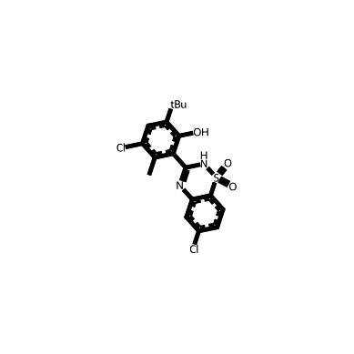 Cc1c(Cl)cc(C(C)(C)C)c(O)c1C1=Nc2cc(Cl)ccc2S(=O)(=O)N1